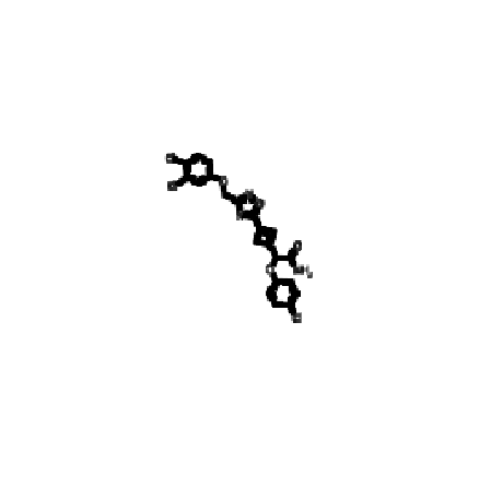 NC(=O)C(Oc1ccc(Cl)cc1)C12CC(c3nc(COc4ccc(Cl)c(Cl)c4)no3)(C1)C2